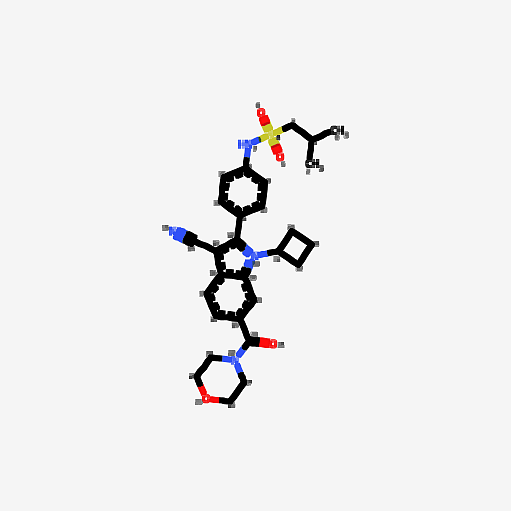 CC(C)CS(=O)(=O)Nc1ccc(-c2c(C#N)c3ccc(C(=O)N4CCOCC4)cc3n2C2CCC2)cc1